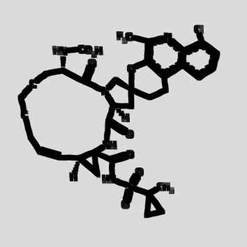 CC1(S(=O)(=O)NC(=O)[C@@]23C[C@H]2/C=C\CCCCC[C@H](NC(=O)O)C(=O)N2C[C@@]4(CCc5c(c(C(F)(F)F)nc6c(Cl)cccc56)O4)C[C@H]2C(=O)N3)CC1